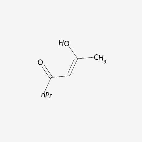 CCCC(=O)C=C(C)O